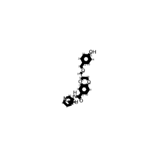 O=C(N[C@H]1CN2CCC1CC2)c1ccc2c(c1)O[C@H](COCc1ccc(O)cc1)CO2